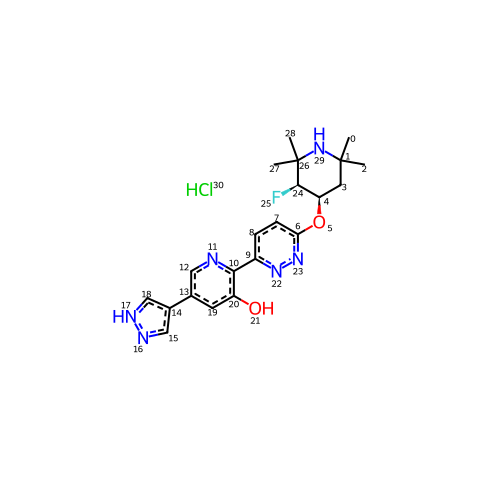 CC1(C)C[C@@H](Oc2ccc(-c3ncc(-c4cn[nH]c4)cc3O)nn2)[C@@H](F)C(C)(C)N1.Cl